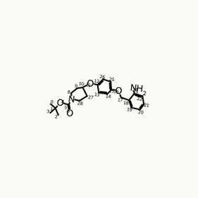 CC(C)(C)OC(=O)N1CCC(Oc2ccc(OCc3ccccc3N)cc2)CC1